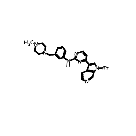 CC(C)n1cc(-c2ccnc(Nc3cccc(CN4CCN(C)CC4)c3)n2)c2ccncc21